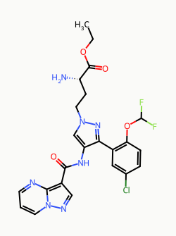 CCOC(=O)[C@@H](N)CCn1cc(NC(=O)c2cnn3cccnc23)c(-c2cc(Cl)ccc2OC(F)F)n1